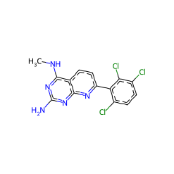 CNc1nc(N)nc2nc(-c3c(Cl)ccc(Cl)c3Cl)ccc12